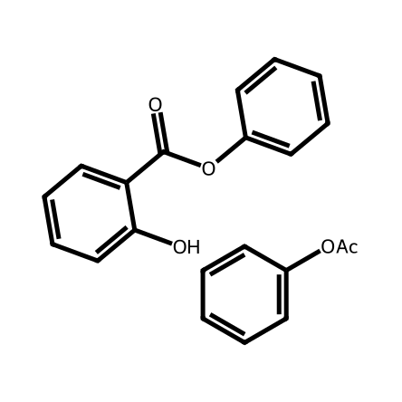 CC(=O)Oc1ccccc1.O=C(Oc1ccccc1)c1ccccc1O